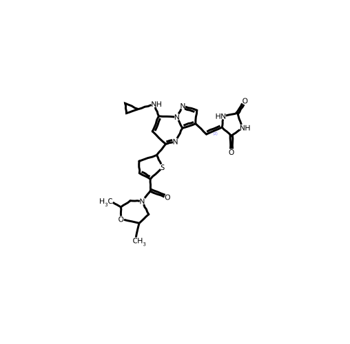 CC1CN(C(=O)C2=CCC(c3cc(NC4CC4)n4ncc(/C=C5\NC(=O)NC5=O)c4n3)S2)CC(C)O1